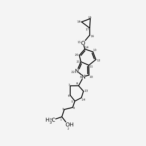 CC(O)CCC1CCC(n2cc3ccc(OCC4CC4)cc3n2)CC1